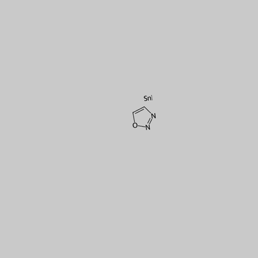 [Sn].c1conn1